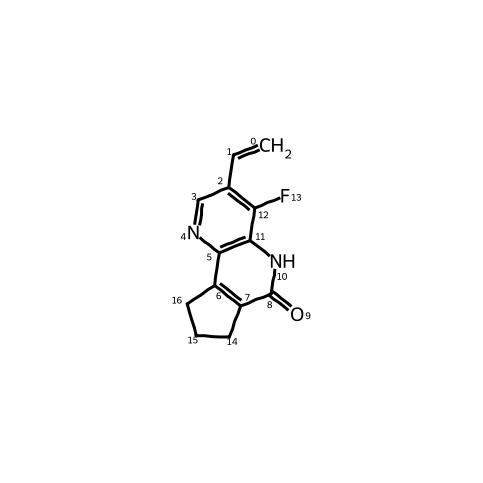 C=Cc1cnc2c3c(c(=O)[nH]c2c1F)CCC3